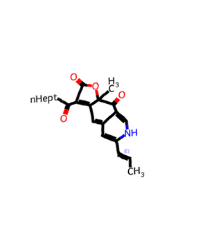 C/C=C/C1=CC2=CC3=C(C(=O)CCCCCCC)C(=O)OC3(C)C(=O)C2=CN1